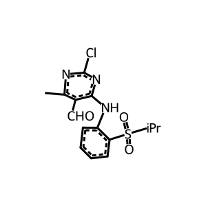 Cc1nc(Cl)nc(Nc2ccccc2S(=O)(=O)C(C)C)c1C=O